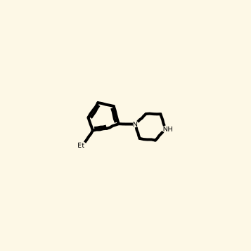 CCc1cccc(N2CCNCC2)c1